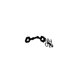 CN(C)CC(=O)Nc1ccc(C#CC#Cc2ccccc2)cc1